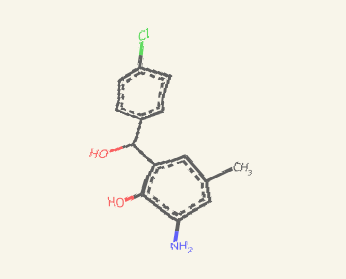 Cc1cc(N)c(O)c(C(O)c2ccc(Cl)cc2)c1